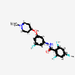 CN1CCC(Oc2cc(F)cc(NC(=O)c3c(F)cc(F)cc3F)c2)CC1